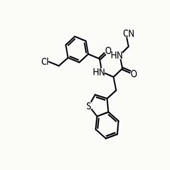 N#CCNC(=O)C(Cc1csc2ccccc12)NC(=O)c1cccc(CCl)c1